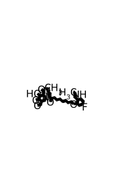 CNCc1ccc(F)cc1OCC/C=C/CCCC(=O)N1CN(C)C(=O)c2c(O)c(=O)c(C=O)cn21